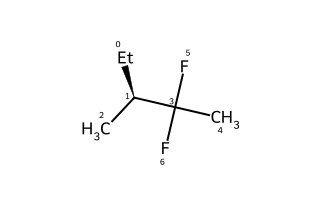 CC[C@H](C)C(C)(F)F